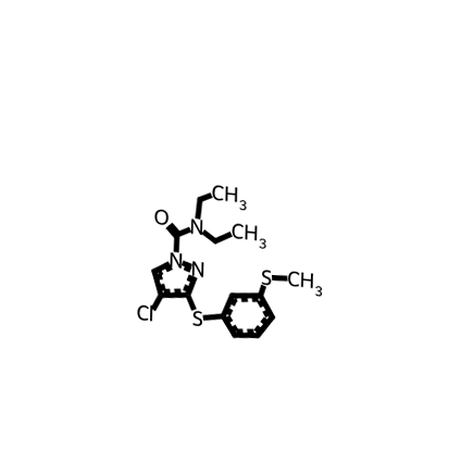 CCN(CC)C(=O)n1cc(Cl)c(Sc2cccc(SC)c2)n1